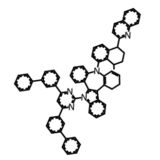 CC1CCC(c2ccc3ccccc3n2)c2cccc(N3C4=C(CCC=C4)c4c(n(-c5nc(-c6cccc(-c7ccccc7)c6)cc(-c6cccc(-c7ccccc7)c6)n5)c5ccccc45)-c4ccccc43)c21